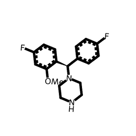 COc1cc(F)ccc1[C@@H](c1ccc(F)cc1)N1CCNCC1